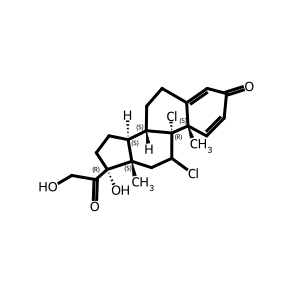 C[C@]12C=CC(=O)C=C1CC[C@H]1[C@@H]3CC[C@](O)(C(=O)CO)[C@@]3(C)CC(Cl)[C@@]12Cl